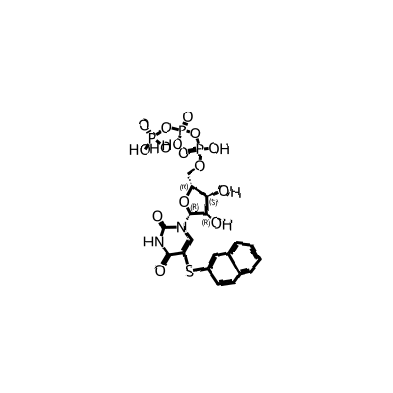 O=c1[nH]c(=O)n([C@@H]2O[C@H](COP(=O)(O)OP(=O)(O)OP(=O)(O)O)[C@@H](O)[C@H]2O)cc1Sc1ccc2ccccc2c1